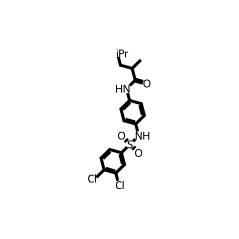 CC(C)CC(C)C(=O)Nc1ccc(NS(=O)(=O)c2ccc(Cl)c(Cl)c2)cc1